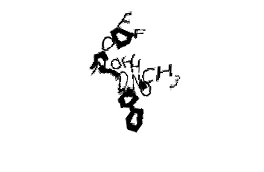 CC(=O)Nc1cc(-c2ccccc2)ccc1OCC(O)CN1CCC(Oc2ccc(F)c(F)c2)C1